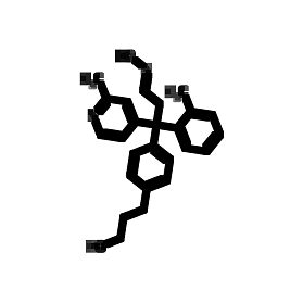 Cc1cc(C(CC=NO)(c2ccc(CCCO)cc2)c2ccccc2C)ccn1